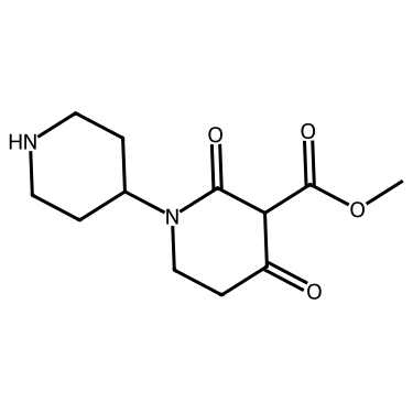 COC(=O)C1C(=O)CCN(C2CCNCC2)C1=O